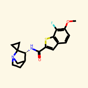 COc1ccc2cc(C(=O)N[C@@H]3C4CCN(C4)C34CC4)sc2c1F